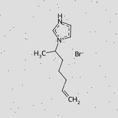 C=CCCCC(C)[n+]1cc[nH]c1.[Br-]